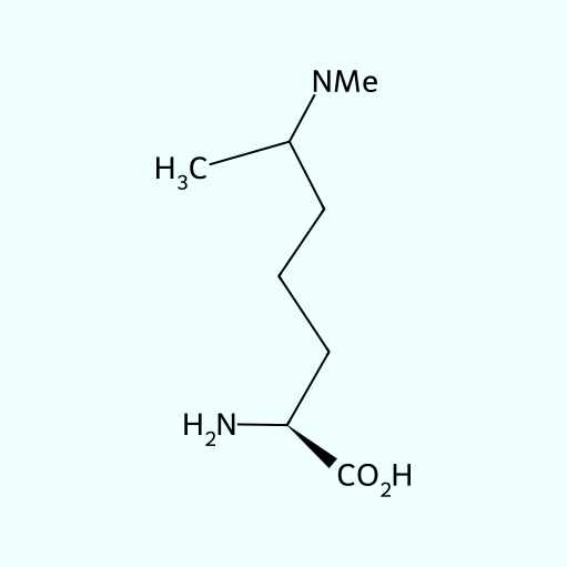 CNC(C)CCC[C@H](N)C(=O)O